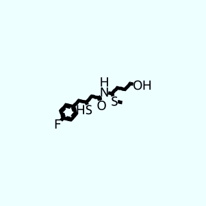 CSC(CCCO)NC(=O)CC(S)Cc1ccc(F)cc1